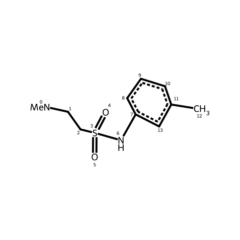 CNCCS(=O)(=O)Nc1cccc(C)c1